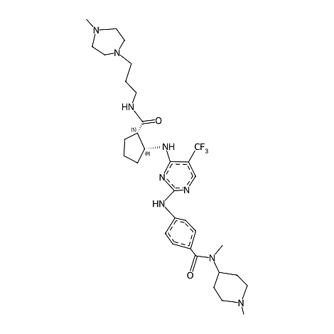 CN1CCC(N(C)C(=O)c2ccc(Nc3ncc(C(F)(F)F)c(N[C@@H]4CCC[C@@H]4C(=O)NCCCN4CCN(C)CC4)n3)cc2)CC1